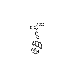 c1cnc(-c2c3ccccc3c(-c3ccc4cc(-c5cc6c7ccccc7ccc6c6ccccc56)ccc4c3)c3ccccc23)nc1